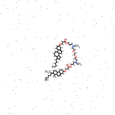 CCC1C(C(C)CCCCC(C)C)CCC2C3CCC(OCCC(=O)OCCCN(C)CCOCCOCCN(C)CCCOC(=O)CCOC4CCC5C(=CCC6C5CCCC5C(CCCCC(C)C)CCC56)C4)CC3=CCC21